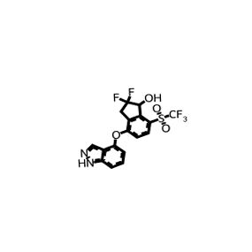 O=S(=O)(c1ccc(Oc2cccc3[nH]ncc23)c2c1C(O)C(F)(F)C2)C(F)(F)F